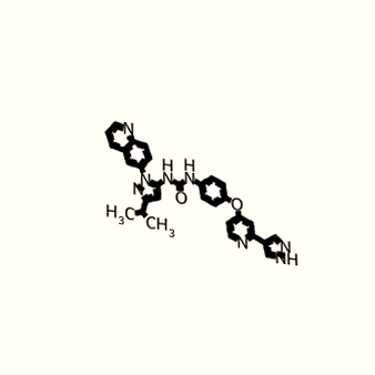 CC(C)c1cc(NC(=O)Nc2ccc(Oc3ccnc(-c4cn[nH]c4)c3)cc2)n(-c2ccc3ncccc3c2)n1